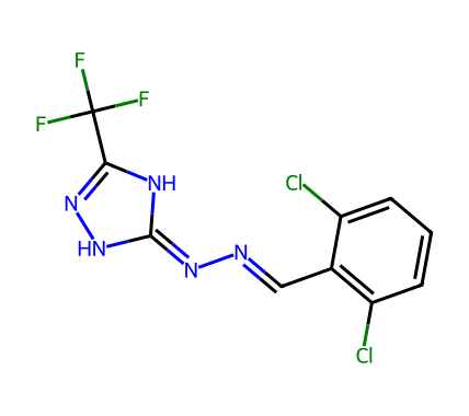 FC(F)(F)c1n[nH]/c(=N/N=C/c2c(Cl)cccc2Cl)[nH]1